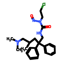 CC(CN(C)C)CC(CNC(=O)N(CCCl)N=O)(c1ccccc1)c1ccccc1